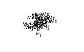 COc1cc(C)c([Si](c2cc(OC)c(OC)cc2C)(c2cc(OC)c(OC)cc2C)C2(C)C(C)=C(C)C(C)=[C]2[Ti+3])cc1OC.[Cl-].[Cl-].[Cl-]